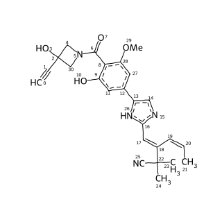 C#CC1(O)CN(C(=O)c2c(O)cc(-c3cnc(/C=C(\C=C/C)C(C)(C)C#N)[nH]3)cc2OC)C1